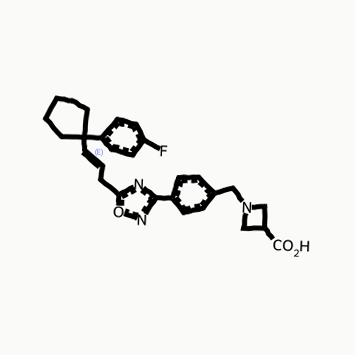 O=C(O)C1CN(Cc2ccc(-c3noc(C/C=C/C4(c5ccc(F)cc5)CCCCC4)n3)cc2)C1